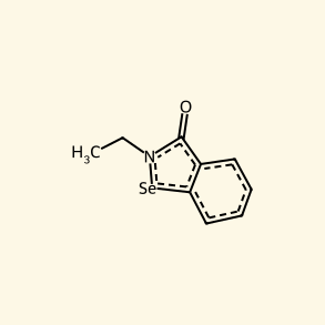 CCn1[se]c2ccccc2c1=O